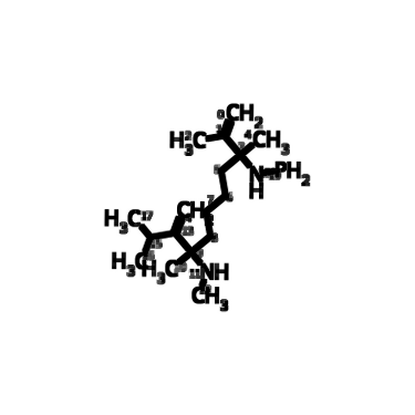 C=C(C)C(C)(CCCCC(C)(NC)C(=C)C(C)C)NP